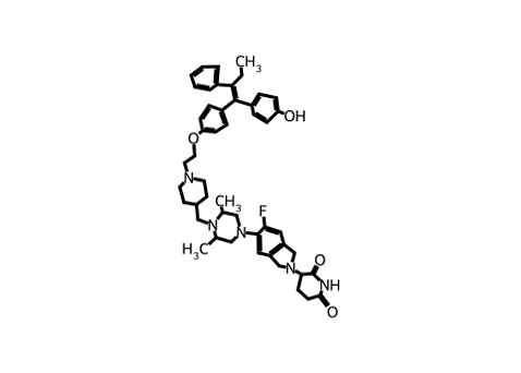 CCC(=C(c1ccc(O)cc1)c1ccc(OCCN2CCC(CN3C(C)CN(c4cc5c(cc4F)CN(C4CCC(=O)NC4=O)C5)CC3C)CC2)cc1)c1ccccc1